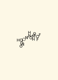 COc1ccc(C2(O)CCC(N3CC(NC(=O)CNC(=O)c4cc(F)cc(F)c4)C3)CC2)cn1